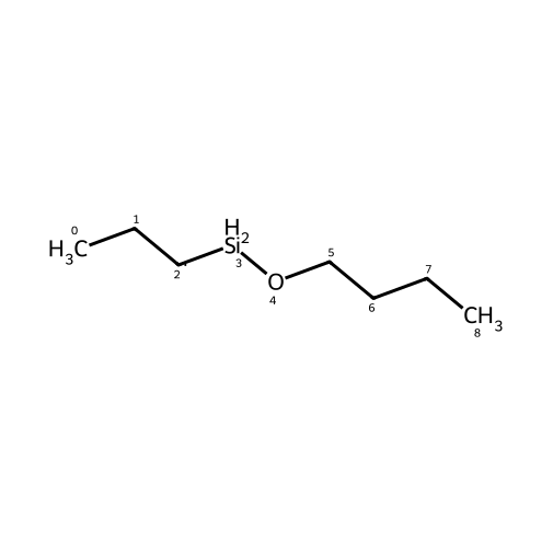 CC[CH][SiH2]OCCCC